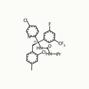 Cc1ccc(C[C@](NC(=O)NC(C)C)(c2cc(F)cc(C(F)(F)F)c2)c2ccc(Cl)cn2)c(Cl)c1